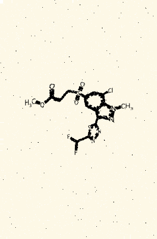 COC(=O)CCS(=O)(=O)c1cc(Cl)c2c(c1)c(-c1nnc(C(F)F)s1)nn2C